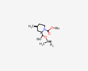 C=C1CCN(C(=O)OC(C)(C)C)[C@@H](C(O[SiH](C)C)C(C)(C)C)C1